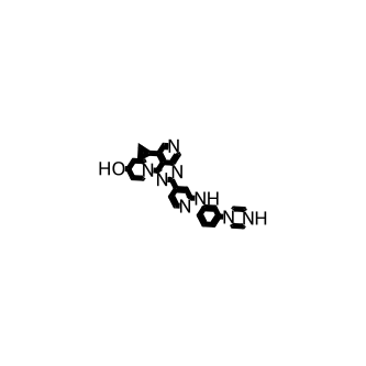 OC1CCN(c2nc(-c3ccnc(Nc4cccc(N5CCNCC5)c4)c3)nc3cncc(C4CC4)c23)CC1